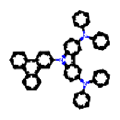 c1ccc(N(c2ccccc2)c2ccc3c(c2)c2cc(N(c4ccccc4)c4ccccc4)ccc2n3-c2ccc3c4ccccc4c4ccccc4c3c2)cc1